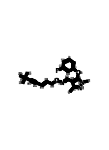 Cc1nn(C)c(Oc2cccc(F)c2)c1C=NOCC=CC#CC(C)(C)C